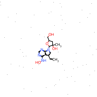 C=Cc1cn(C2OC(CO)CC2(C)O)c2ncnc(NO)c12